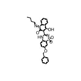 CCCC=Nn1c(=O)c(C2=NS(=O)(=O)c3cc(OCc4ccccc4)ccc3N2)c(O)c2ccccc21